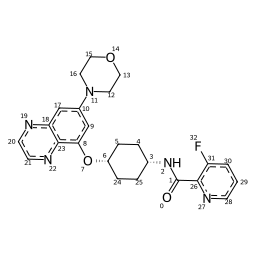 O=C(N[C@H]1CC[C@@H](Oc2cc(N3CCOCC3)cc3nccnc23)CC1)c1ncccc1F